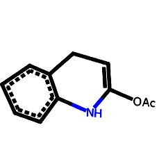 CC(=O)OC1=CCc2ccccc2N1